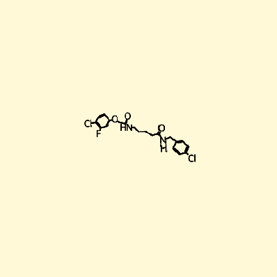 O=C(CCCCNC(=O)COc1ccc(Cl)c(F)c1)NCc1ccc(Cl)cc1